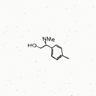 CN[C@H](CO)c1ccc(C)cc1